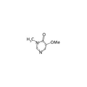 COc1cncn(C)c1=O